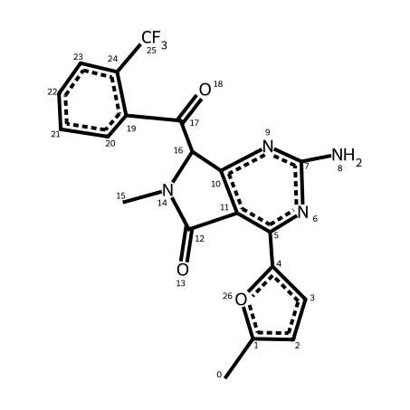 Cc1ccc(-c2nc(N)nc3c2C(=O)N(C)C3C(=O)c2ccccc2C(F)(F)F)o1